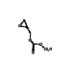 O=C(O)OC(=O)OCC1CO1